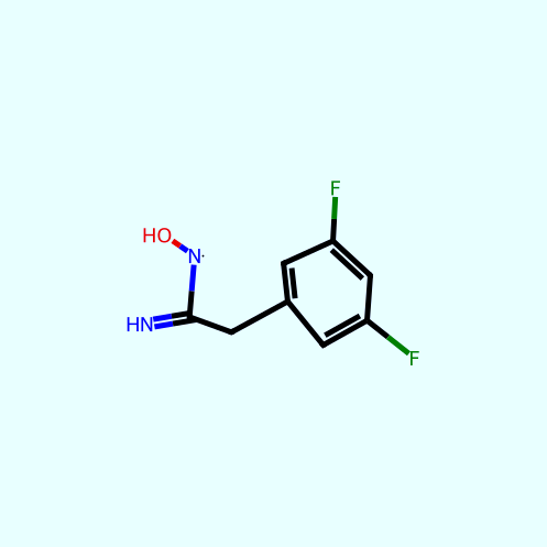 N=C(Cc1cc(F)cc(F)c1)[N]O